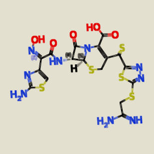 N=C(N)CSc1nnc(C(=S)C2=C(C(=O)O)N3C(=O)[C@@H](NC(=O)/C(=N\O)c4csc(N)n4)[C@@H]3SC2)s1